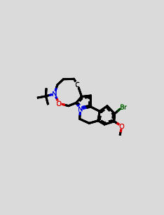 COc1cc2c(cc1Br)-c1cc3c(n1CC2)CON(C(C)(C)C)CCCC3